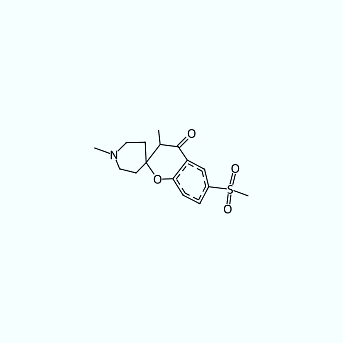 CC1C(=O)c2cc(S(C)(=O)=O)ccc2OC12CCN(C)CC2